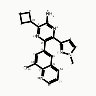 Cn1ccc(-c2nc(N)c(C3CCC3)nc2-c2cc(Cl)c3ncccc3c2)n1